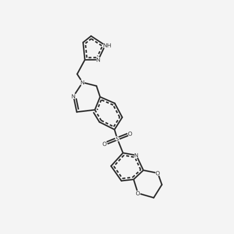 O=S(=O)(c1ccc2c(c1)C=NN(Cc1cc[nH]n1)C2)c1ccc2c(n1)OCCO2